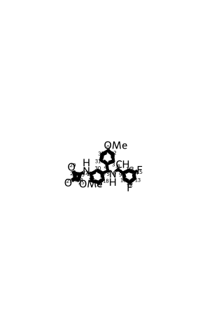 COc1ccc(C(NC(C)c2cc(F)cc(F)c2)c2cccc(Nc3c(OC)c(=O)c3=O)c2)cc1